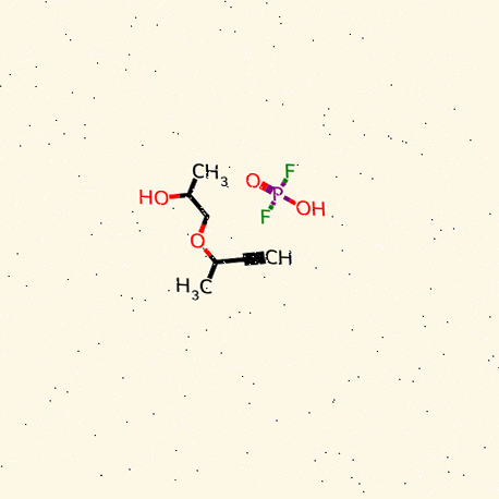 C#CC(C)OCC(C)O.O=P(O)(F)F